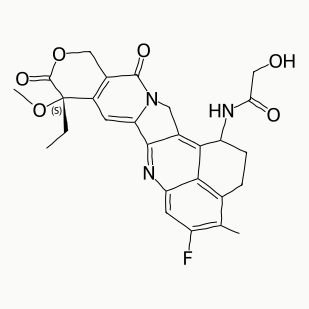 CC[C@@]1(OC)C(=O)OCc2c1cc1n(c2=O)Cc2c-1nc1cc(F)c(C)c3c1c2C(NC(=O)CO)CC3